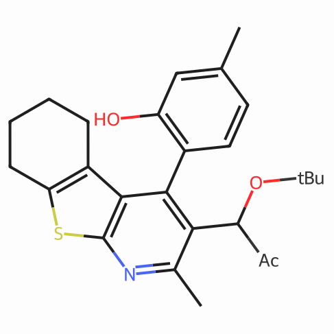 CC(=O)C(OC(C)(C)C)c1c(C)nc2sc3c(c2c1-c1ccc(C)cc1O)CCCC3